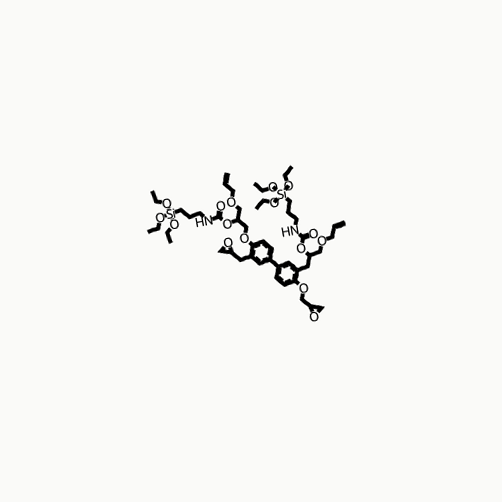 C=CCOCC(COc1ccc(-c2ccc(OCC3CO3)c(CC(COCC=C)OC(=O)NCCC[Si](OCC)(OCC)OCC)c2)cc1CC1CO1)OC(=O)NCCC[Si](OCC)(OCC)OCC